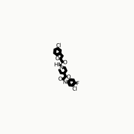 NC(=O)[C@@H](Oc1ccc(Cl)c(F)c1)C1CCN(NC(=O)C2Cc3cc(Cl)ccc3O2)CC1